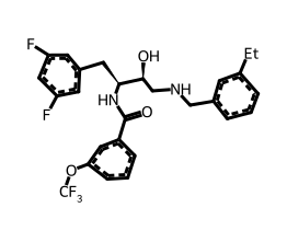 CCc1cccc(CNC[C@H](O)[C@H](Cc2cc(F)cc(F)c2)NC(=O)c2cccc(OC(F)(F)F)c2)c1